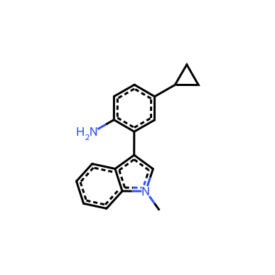 Cn1cc(-c2cc(C3CC3)ccc2N)c2ccccc21